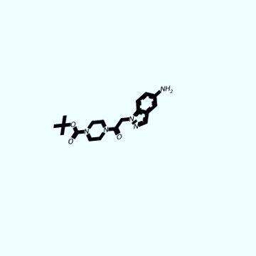 CC(C)(C)OC(=O)N1CCN(C(=O)Cn2ncc3cc(N)ccc32)CC1